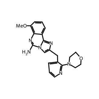 COc1cccc2c1nc(N)n1cc(Cc3cccnc3N3CCOCC3)nc21